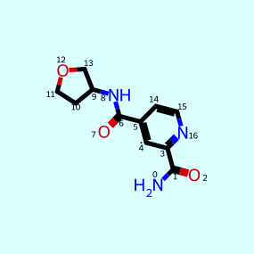 NC(=O)c1[c]c(C(=O)NC2CCOC2)ccn1